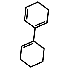 [C]1=C(C2=CCCCC2)C=CCC1